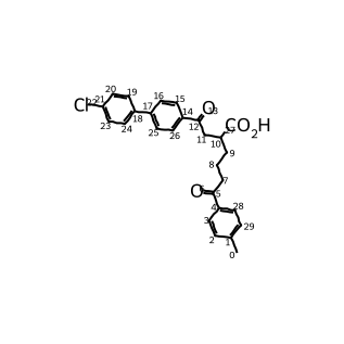 Cc1ccc(C(=O)CCCC(CC(=O)c2ccc(-c3ccc(Cl)cc3)cc2)C(=O)O)cc1